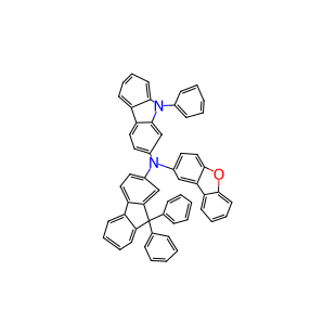 c1ccc(-n2c3ccccc3c3ccc(N(c4ccc5c(c4)C(c4ccccc4)(c4ccccc4)c4ccccc4-5)c4ccc5oc6ccccc6c5c4)cc32)cc1